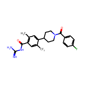 Cc1cc(C2CCN(C(=O)c3ccc(F)cc3)CC2)c(C(F)(F)F)cc1C(=O)NC(=N)N